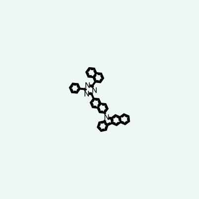 c1ccc(-c2nc(-c3ccc4cc(-n5c6ccccc6c6cc7ccccc7cc65)ccc4c3)nc(-c3cccc4ccccc34)n2)cc1